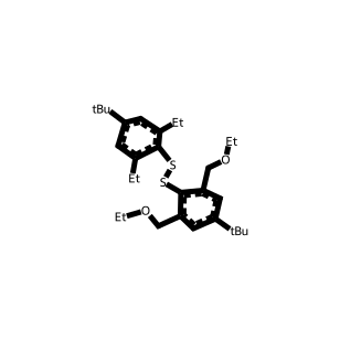 CCOCc1cc(C(C)(C)C)cc(COCC)c1SSc1c(CC)cc(C(C)(C)C)cc1CC